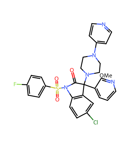 COc1ncccc1C1(N2CCN(c3ccncc3)CC2)C(=O)N(S(=O)(=O)c2ccc(F)cc2)c2ccc(Cl)cc21